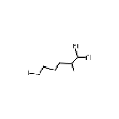 CCC(Cl)C(C)CCCCI